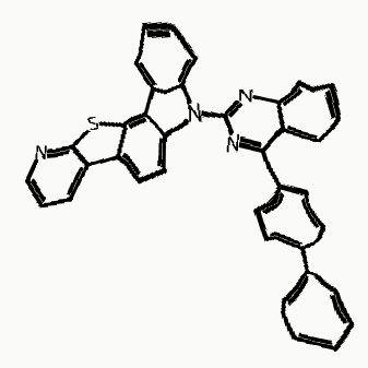 c1ccc(-c2ccc(-c3nc(-n4c5ccccc5c5c6sc7ncccc7c6ccc54)nc4ccccc34)cc2)cc1